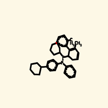 CC1=C(c2ccccc2C)[C](P(C2CCCCC2)[P@](c2ccccc2)c2ccc(C3CCCCC3)cc2)CC=C1